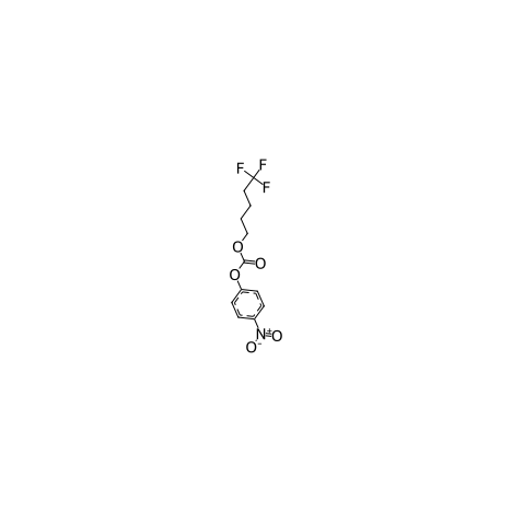 O=C(OCCCCC(F)(F)F)Oc1ccc([N+](=O)[O-])cc1